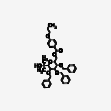 CCCOc1ccc(C(=O)OCC2OC(C(C)(C)O)C(OCc3ccccc3)C(OCc3ccccc3)C2OCc2ccccc2)cc1